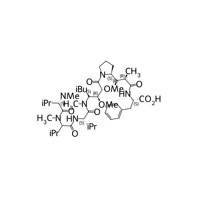 CC[C@H](C)C([C@@H](CC(=O)N1CCC[C@H]1[C@H](OC)[C@@H](C)C(=O)N[C@@H](Cc1ccccc1)C(=O)O)OC)N(C)C(=O)[C@@H](NC(=O)C(C(C)C)N(C)C(=O)[C@@H](NC)C(C)C)C(C)C